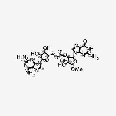 CO[C@H]1O[C@@H](n2cnc3c(=O)[nH]c(N)nc32)C(OP(=O)(O)OC[C@H]2O[C@@H](n3cnc4c(N)nc(N)nc43)C(O)C2O)C1O